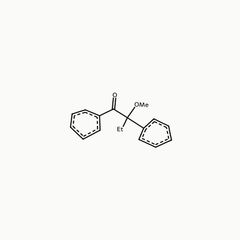 CCC(OC)(C(=O)c1ccccc1)c1ccccc1